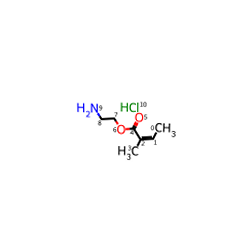 CC=C(C)C(=O)OCCN.Cl